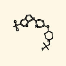 CC(C)(F)CN1CCC(Oc2ccc(-n3ccc4cc(S(C)(=O)=O)cnc43)nc2)CC1